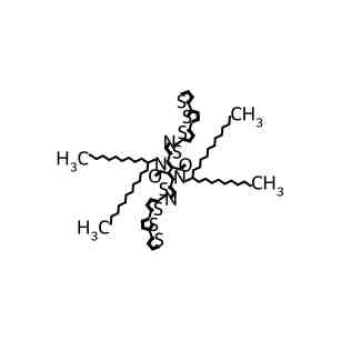 CCCCCCCCCCCCC(CCCCCCCCCC)CN1C(=O)C2=C(c3cnc(-c4ccc(-c5ccc(-c6cccs6)s5)s4)s3)N(CC(CCCCCCCCCC)CCCCCCCCCCCC)C(=O)C2=C1c1cnc(-c2ccc(-c3ccc(-c4cccs4)s3)s2)s1